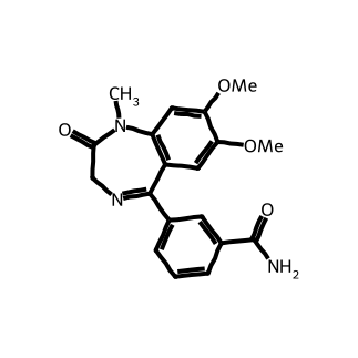 COc1cc2c(cc1OC)N(C)C(=O)CN=C2c1cccc(C(N)=O)c1